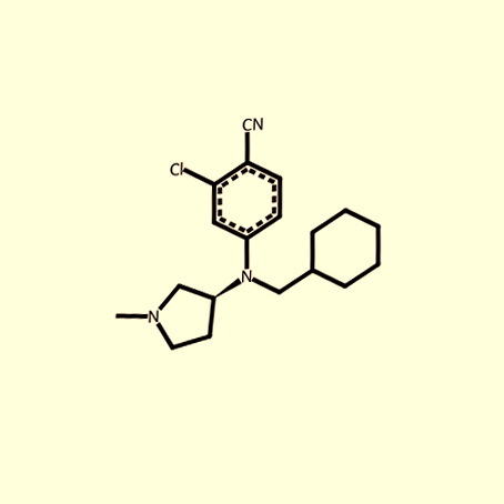 CN1CC[C@H](N(CC2CCCCC2)c2ccc(C#N)c(Cl)c2)C1